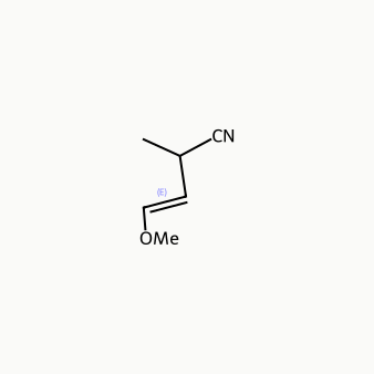 CO/C=C/C(C)C#N